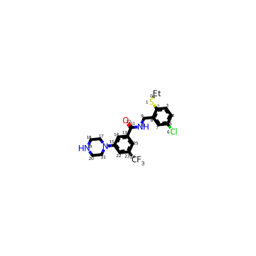 CCSc1ccc(Cl)cc1CNC(=O)c1cc(N2CCNCC2)cc(C(F)(F)F)c1